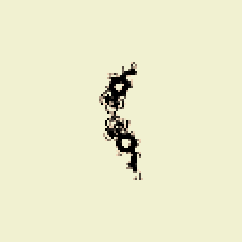 C=Cc1ccc(S(=O)(=O)OCOS(=O)(=O)c2ccc(/C=C/C)cc2)cc1